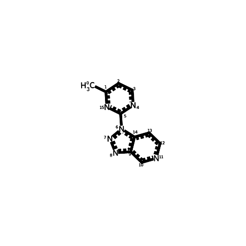 Cc1ccnc(-n2nnc3cnccc32)n1